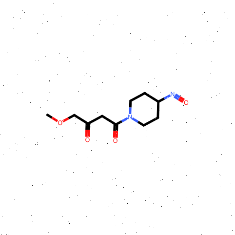 COCC(=O)CC(=O)N1CCC(N=O)CC1